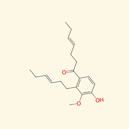 CCC=CCCC(=O)c1ccc(O)c(OC)c1CCC=CCC